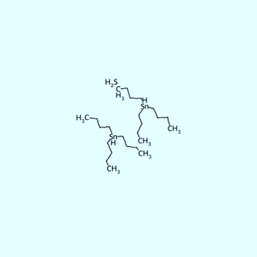 CCC[CH2][SnH]([CH2]CCC)[CH2]CCC.CCC[CH2][SnH]([CH2]CCC)[CH2]CCC.S